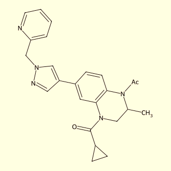 CC(=O)N1c2ccc(-c3cnn(Cc4ccccn4)c3)cc2N(C(=O)C2CC2)CC1C